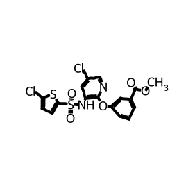 COC(=O)c1cccc(Oc2ncc(Cl)cc2NS(=O)(=O)c2ccc(Cl)s2)c1